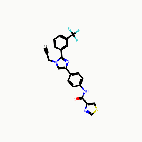 C#CCn1cc(-c2ccc(NC(=O)c3cscn3)cc2)nc1-c1cccc(C(F)(F)F)c1